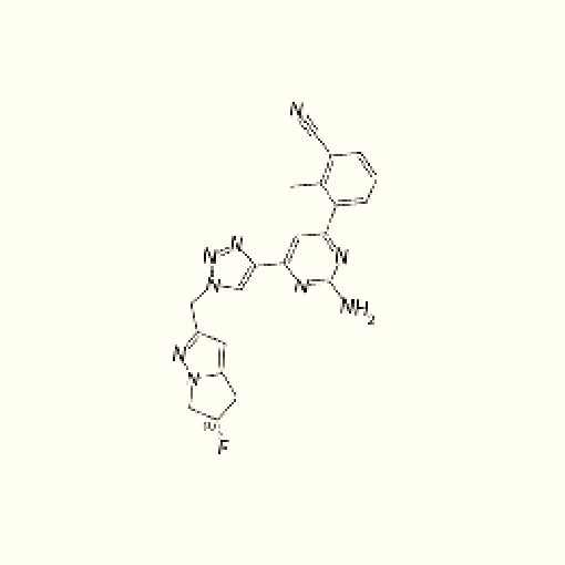 Cc1c(C#N)cccc1-c1cc(-c2cn(Cc3cc4n(n3)C[C@@H](F)C4)nn2)nc(N)n1